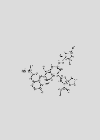 C#Cc1c(F)ccc2cc([C@H](C)O)cc(-c3ncc4c(NCC5(N(C)C(=O)C=C)CCCC5)nc(OC[C@]5(C)C[C@@H](F)CN5C)nc4c3F)c12